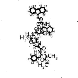 COC(=O)[C@@H](C)C[C@H](Cc1ccccc1)NC(=O)c1csc([C@@H](C[C@H](C(C)C)N(C)C(=O)[C@@H](NC(=O)OCC2c3ccccc3-c3ccccc32)C2CCCCC2)OC(C)=O)n1